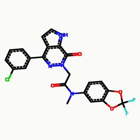 CN(C(=O)Cn1nc(-c2cccc(Cl)c2)c2cc[nH]c2c1=O)c1ccc2c(c1)OC(F)(F)O2